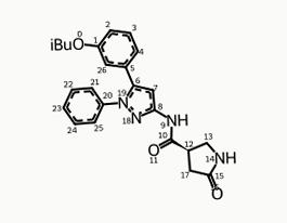 CC(C)COc1cccc(-c2cc(NC(=O)[C@H]3CNC(=O)C3)nn2-c2ccccc2)c1